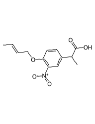 CC=CCOc1ccc(C(C)C(=O)O)cc1[N+](=O)[O-]